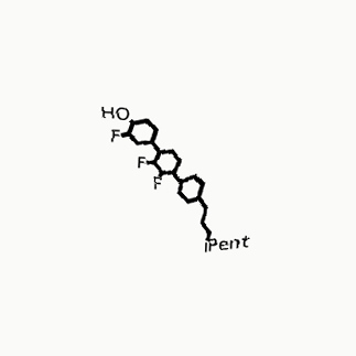 CCCC(C)CCCC1CCC(C2CCC(C3CCC(O)C(F)C3)C(F)C2F)CC1